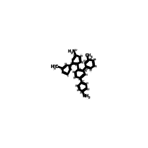 Cc1cccc(-c2cc(N)ccc2-c2ccc(-c3ccc(N)cc3)cc2-c2cccc(C)c2)c1